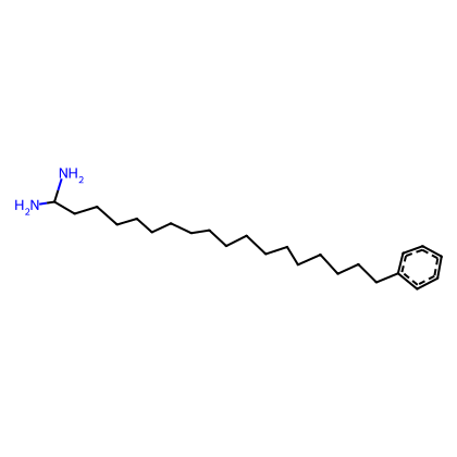 NC(N)CCCCCCCCCCCCCCCCCc1ccccc1